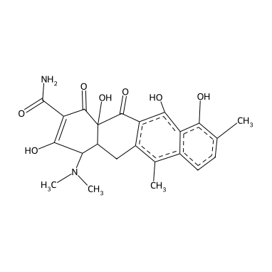 Cc1ccc2c(C)c3c(c(O)c2c1O)C(=O)C1(O)C(=O)C(C(N)=O)=C(O)C(N(C)C)C1C3